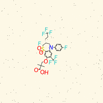 CC(C)(COc1cc2c(cc1C(F)(F)F)N(c1ccc(F)cc1)C[C@@H](CCC(F)(F)F)[C@@H](F)S2(=O)=O)C(=O)O